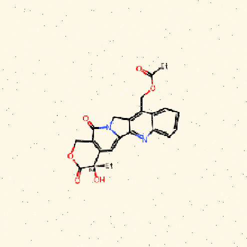 CCC(=O)OCc1c2c(nc3ccccc13)-c1cc3c(c(=O)n1C2)COC(=O)[C@]3(O)CC